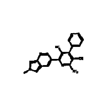 Cn1cc2cc(-c3nc(N)c(C#N)c(-c4ccccc4)c3C#N)cnc2n1